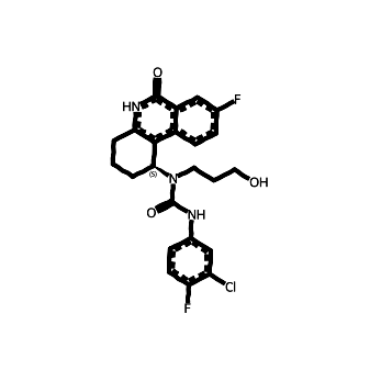 O=C(Nc1ccc(F)c(Cl)c1)N(CCCO)[C@H]1CCCc2[nH]c(=O)c3cc(F)ccc3c21